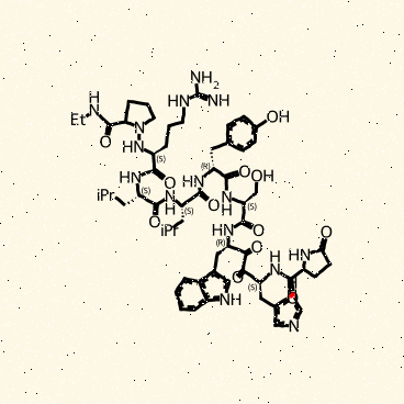 CCNC(=O)C1CCCN1N[C@@H](CCCNC(=N)N)C(=O)N[C@@H](CC(C)C)C(=O)N[C@@H](CC(C)C)C(=O)N[C@H](Cc1ccc(O)cc1)C(=O)N[C@@H](CO)C(=O)N[C@H](Cc1c[nH]c2ccccc12)C(=O)C(=O)[C@H](Cc1cnc[nH]1)NC(=O)C1CCC(=O)N1